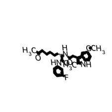 COc1ccc2[nH]c(C)c(CC(=O)N[C@@H](CCCCCC(C)=O)C(=O)Nc3cccc(F)c3)c2c1